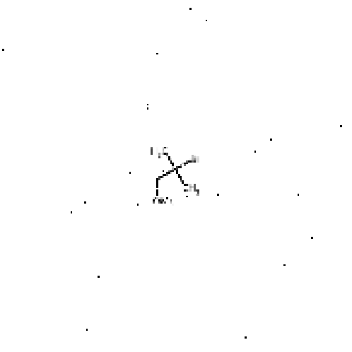 COCC(C)(C)Br